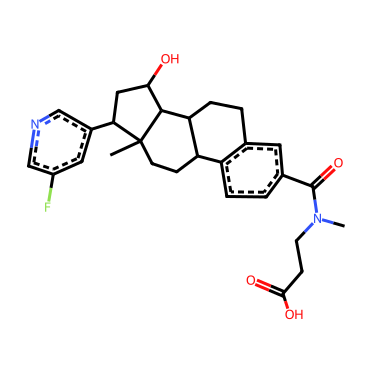 CN(CCC(=O)O)C(=O)c1ccc2c(c1)CCC1C2CCC2(C)C(c3cncc(F)c3)CC(O)C12